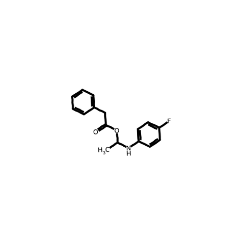 CC(Nc1ccc(F)cc1)OC(=O)Cc1ccccc1